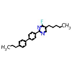 CCCCCc1cnc(-c2ccc(-c3ccc(CCC)cc3)cc2)nc1F